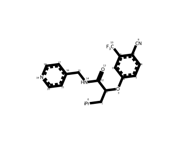 CC(C)CC(Oc1ccc(C#N)c(C(F)(F)F)c1)C(=O)NCc1ccncc1